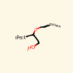 CCCCCCCOC(CO)CCCCC